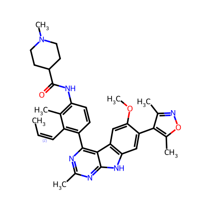 C/C=C\c1c(-c2nc(C)nc3[nH]c4cc(-c5c(C)noc5C)c(OC)cc4c23)ccc(NC(=O)C2CCN(C)CC2)c1C